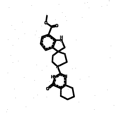 COC(=O)c1cccc2c1NCC21CCN(c2nc3c(c(=O)[nH]2)CCCC3)CC1